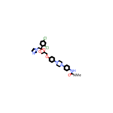 CNC(=O)Nc1ccc(N2CCN(c3ccc(OCC4COC(Cn5ccnc5)(c5ccc(Cl)cc5Cl)O4)cc3)CC2)cc1